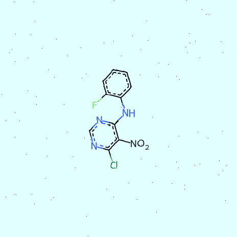 O=[N+]([O-])c1c(Cl)ncnc1Nc1ccccc1F